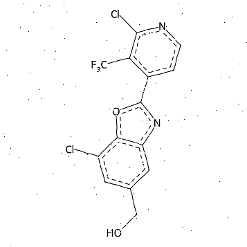 OCc1cc(Cl)c2oc(-c3ccnc(Cl)c3C(F)(F)F)nc2c1